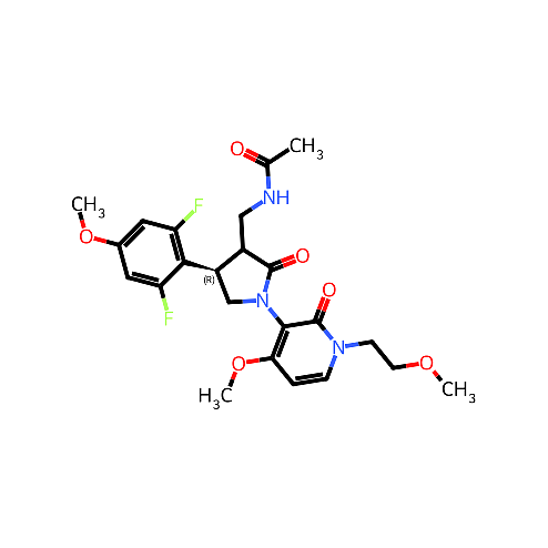 COCCn1ccc(OC)c(N2C[C@@H](c3c(F)cc(OC)cc3F)C(CNC(C)=O)C2=O)c1=O